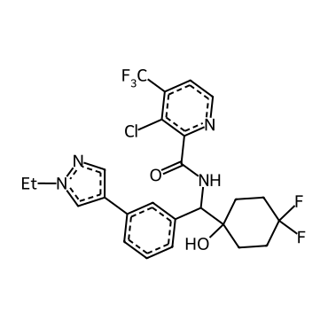 CCn1cc(-c2cccc(C(NC(=O)c3nccc(C(F)(F)F)c3Cl)C3(O)CCC(F)(F)CC3)c2)cn1